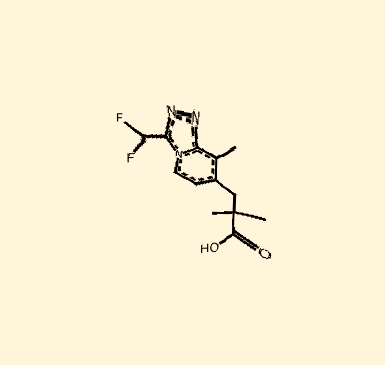 Cc1c(CC(C)(C)C(=O)O)ccn2c(C(F)F)nnc12